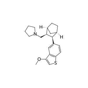 COc1csc2ccc([C@@H]3[C@@H]4CC[C@@H](C4)[C@@H]3CN3CCCC3)cc12